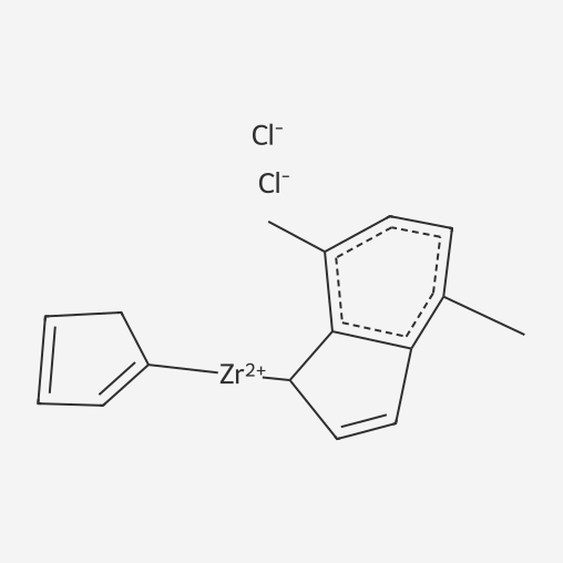 Cc1ccc(C)c2c1C=C[CH]2[Zr+2][C]1=CC=CC1.[Cl-].[Cl-]